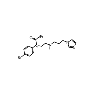 CC(C)C(=O)[C@H](CCNCCCn1ccnc1)c1ccc(Br)cc1